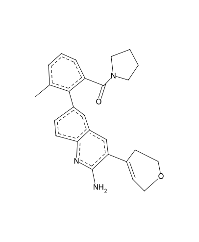 Cc1cccc(C(=O)N2CCCC2)c1-c1ccc2nc(N)c(C3=CCOCC3)cc2c1